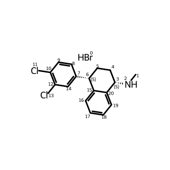 Br.CN[C@H]1CC[C@@H](c2ccc(Cl)c(Cl)c2)c2ccccc21